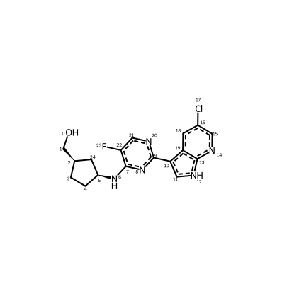 OC[C@@H]1CC[C@H](Nc2nc(-c3c[nH]c4ncc(Cl)cc34)ncc2F)C1